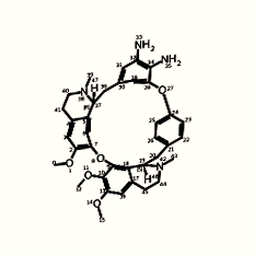 COc1cc2c3cc1Oc1c(OC)c(OC)cc4c1[C@H](Cc1ccc(cc1)Oc1cc(cc(N)c1N)C[C@H]3N(C)CC2)N(C)CC4